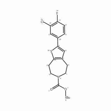 CC(C)(C)OC(=O)N1CCc2cc(-c3ccc(F)c(Cl)c3)sc2CC1